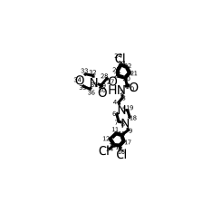 O=C(NCCN1CCN(Cc2ccc(Cl)c(Cl)c2)CC1)c1ccc(Cl)cc1OCC(=O)N1CCOCC1